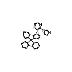 c1ccc2c(c1)-c1ccccc1C21c2ccccc2-c2c1ccn2-c1nccnc1-n1ccnc1